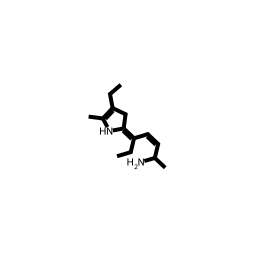 CCC1=C(C)N/C(=C(/C=C\C(C)N)CC)C1